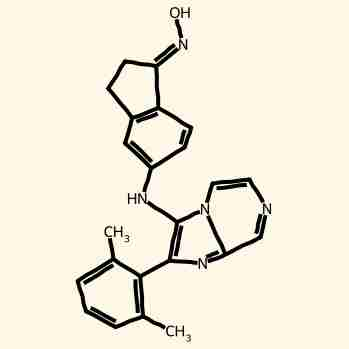 Cc1cccc(C)c1-c1nc2cnccn2c1Nc1ccc2c(c1)CCC2=NO